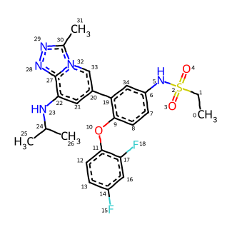 CCS(=O)(=O)Nc1ccc(Oc2ccc(F)cc2F)c(-c2cc(NC(C)C)c3nnc(C)n3c2)c1